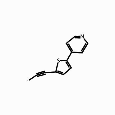 [CH2]C#Cc1ccc(-c2ccncc2)s1